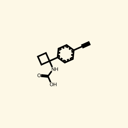 C#Cc1ccc(C2(NC(=O)O)CCC2)cc1